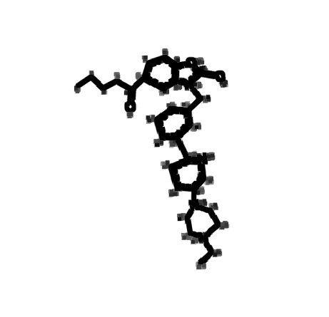 CCCCC(=O)c1ccc2oc(=O)n(Cc3cccc(-c4ccc(N5CCN(CC)CC5)cn4)c3)c2c1